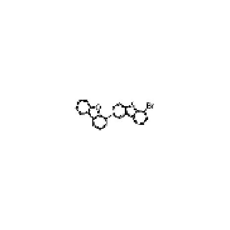 Brc1cccc2c1sc1ccc(-c3cccc4c3oc3ccccc34)cc12